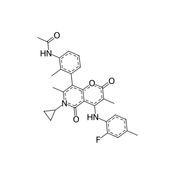 CC(=O)Nc1cccc(-c2c(C)n(C3CC3)c(=O)c3c(Nc4ccc(C)cc4F)c(C)c(=O)oc23)c1C